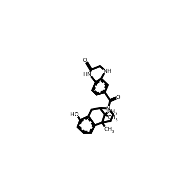 CC12CCN(C(=O)c3ccc4c(c3)NCC(=O)N4)C(Cc3c(O)cccc31)C2(C)C